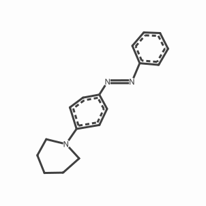 c1ccc(N=Nc2ccc(N3CCCCC3)cc2)cc1